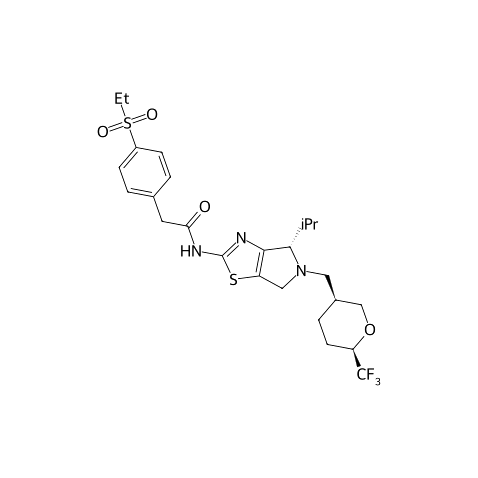 CCS(=O)(=O)c1ccc(CC(=O)Nc2nc3c(s2)CN(C[C@@H]2CC[C@H](C(F)(F)F)OC2)[C@H]3C(C)C)cc1